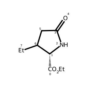 CCOC(=O)[C@H]1NC(=O)CC1CC